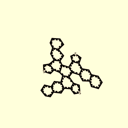 c1ccc2cc3c(cc2c1)c1cscc1c1c3c2c3cscc3c3cc4ccccc4cc3c2c2c3cscc3c3cc4ccccc4cc3c12